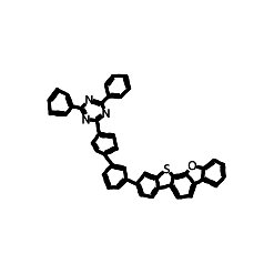 c1ccc(-c2nc(-c3ccccc3)nc(-c3ccc(-c4cccc(-c5ccc6c(c5)sc5c6ccc6c7ccccc7oc65)c4)cc3)n2)cc1